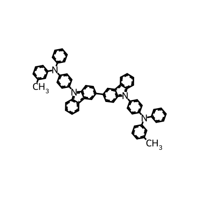 Cc1cccc(N(c2ccccc2)c2ccc(-n3c4ccccc4c4cc(-c5ccc6c(c5)c5ccccc5n6-c5ccc(N(c6ccccc6)c6cccc(C)c6)cc5)ccc43)cc2)c1